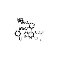 COc1cccc([C@H]2C(C(=O)O)=C(C)N=C3SC(c4c(Cl)cccc4Cl)=CN32)c1OC.Cl.Cl